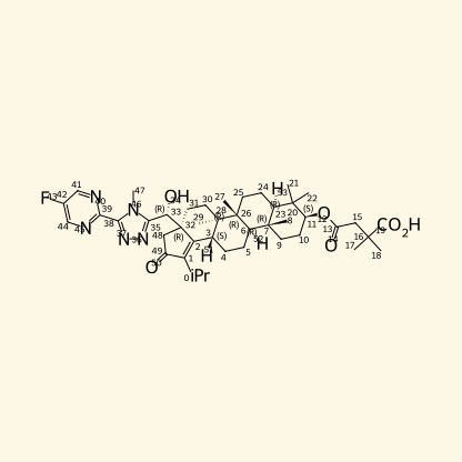 CC(C)C1=C2[C@H]3CC[C@@H]4[C@@]5(C)CC[C@H](OC(=O)CC(C)(C)C(=O)O)C(C)(C)[C@@H]5CC[C@@]4(C)[C@]3(C)CC[C@@]2([C@@H](O)c2nnc(-c3ncc(F)cn3)n2C)CC1=O